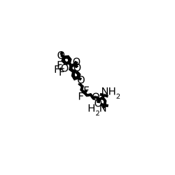 COc1ccc(-c2cc3ccc(OCCCC(F)(F)CCCOC(=O)C(CC(C)(C)N)C(C)(C)N)cc3oc2=O)c(OC(F)(F)F)c1